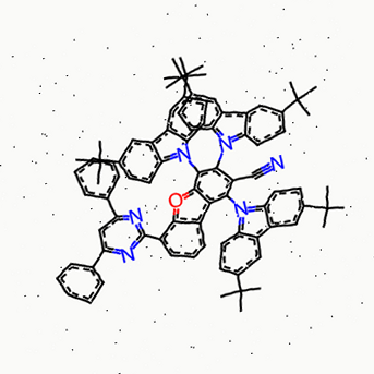 CC(C)(C)c1ccc2c(c1)c1cc(C(C)(C)C)ccc1n2-c1c(C#N)c(-n2c3ccc(C(C)(C)C)cc3c3cc(C(C)(C)C)ccc32)c2c(oc3c(-c4nc(-c5ccccc5)cc(-c5ccccc5)n4)cccc32)c1-n1c2ccc(C(C)(C)C)cc2c2cc(C(C)(C)C)ccc21